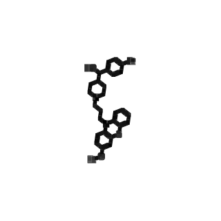 CCOc1ccc2c(c1)Sc1ccccc1N2CCCN1CCC(C(O)c2ccc(CC)cc2)CC1